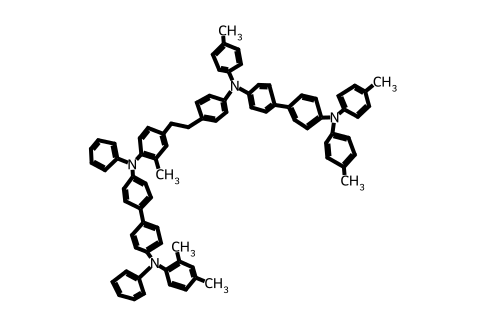 Cc1ccc(N(c2ccc(C)cc2)c2ccc(-c3ccc(N(c4ccc(C)cc4)c4ccc(CCc5ccc(N(c6ccccc6)c6ccc(-c7ccc(N(c8ccccc8)c8ccc(C)cc8C)cc7)cc6)c(C)c5)cc4)cc3)cc2)cc1